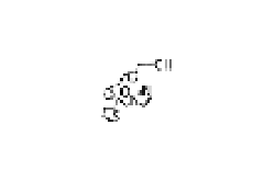 C#CCOCC1COC(Cn2ccnc2)(c2cccs2)O1